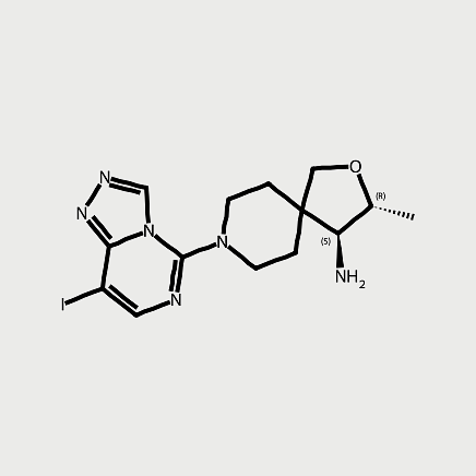 C[C@H]1OCC2(CCN(c3ncc(I)c4nncn34)CC2)[C@@H]1N